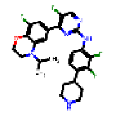 CC(C)N1CCOc2c(F)cc(-c3nc(Nc4ccc(C5CCNCC5)c(F)c4F)ncc3F)cc21